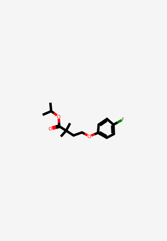 CC(C)OC(=O)C(C)(C)CCOc1ccc(F)cc1